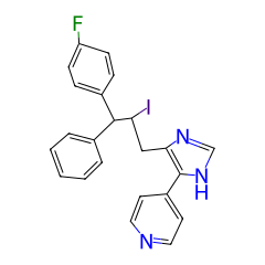 Fc1ccc(C(c2ccccc2)C(I)Cc2nc[nH]c2-c2ccncc2)cc1